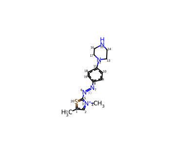 Cc1c[n+](C)c(/N=N/c2ccc(N3CCNCC3)cc2)s1